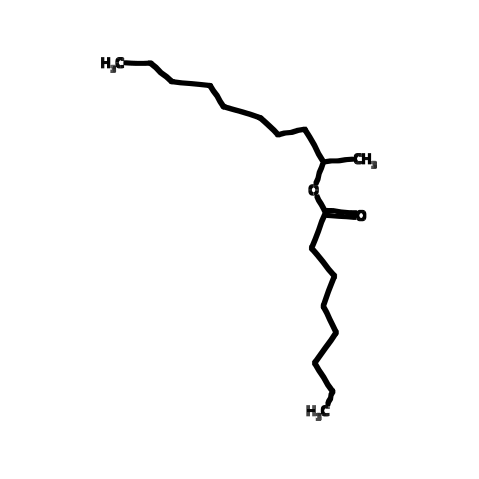 CCCCCCCCC(C)OC(=O)CCCCCCC